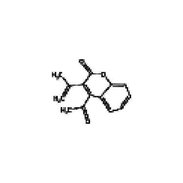 C=C(C)c1c(C(C)=O)c2ccccc2oc1=O